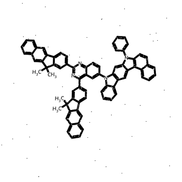 CC1(C)c2cc(-c3nc(-c4ccc5c(c4)C(C)(C)c4cc6ccccc6cc4-5)c4cc(-n5c6ccccc6c6cc7c8c9ccccc9ccc8n(-c8ccccc8)c7cc65)ccc4n3)ccc2-c2cc3ccccc3cc21